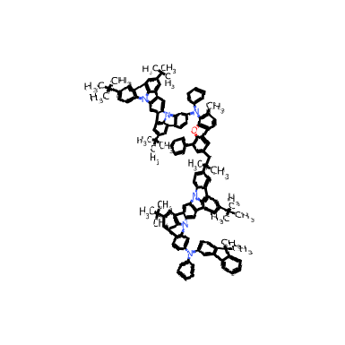 Cc1ccc2c(oc3c(-c4ccccc4)cc(CC(C)(C)c4ccc5c(c4)c4cc(C(C)(C)C)cc6c7cc8c(cc7n5c46)c4cc(C(C)(C)C)cc5c6ccc(N(c7ccccc7)c7ccc9c(c7)-c7ccccc7C9(C)C)cc6n8c54)cc32)c1N(c1ccccc1)c1ccc2c3cc(C(C)(C)C)cc4c5cc6c(cc5n(c2c1)c34)c1cc(C(C)(C)C)cc2c3cc(C(C)(C)C)ccc3n6c21